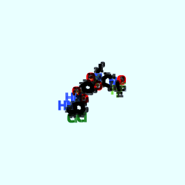 CCCN(C1CCN(C(=O)C(F)(F)F)CC1)S(=O)(=O)c1ccc(S(=O)(=O)Nc2ccc(Cl)c3c(Cl)c[nH]c23)cc1